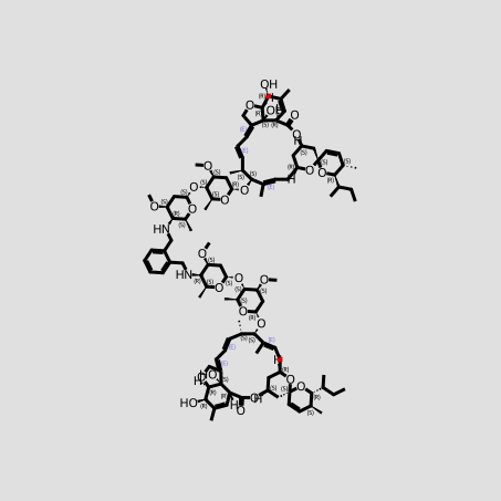 CCC(C)[C@H]1O[C@]2(C=C[C@@H]1C)C[C@@H]1C[C@@H](C/C=C(\C)[C@@H](O[C@H]3C[C@H](OC)[C@@H](O[C@H]4C[C@H](OC)[C@H](NCc5ccccc5CN[C@@H]5[C@H](C)O[C@@H](O[C@H]6[C@H](C)O[C@@H](O[C@@H]7/C(C)=C/C[C@@H]8C[C@@H](C[C@]9(C=C[C@H](C)[C@@H](C(C)CC)O9)O8)OC(=O)[C@@H]8C=C(C)[C@@H](O)[C@H]9OC/C(=C\C=C\[C@@H]7C)[C@]98O)C[C@@H]6OC)C[C@@H]5OC)[C@H](C)O4)[C@H](C)O3)[C@@H](C)/C=C/C=C3\CO[C@@H]4[C@H](O)C(C)=C[C@@H](C(=O)O1)[C@]34O)O2